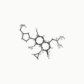 Cc1c(N2CCC(CN)C2)c(F)cc2c(CN(C)C)cc(=O)n(C3CC3)c12